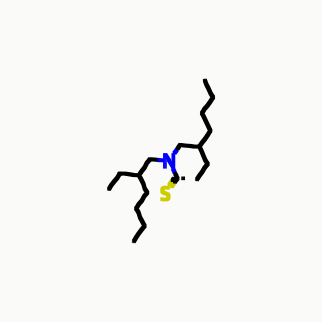 CCCCC(CC)CN([C]=S)CC(CC)CCCC